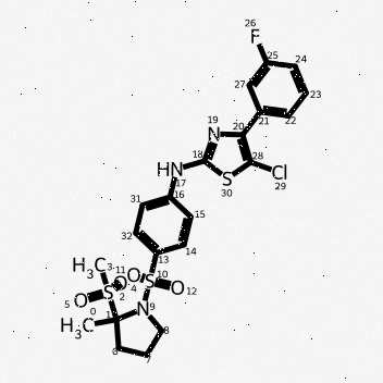 CC1(S(C)(=O)=O)CCCN1S(=O)(=O)c1ccc(Nc2nc(-c3cccc(F)c3)c(Cl)s2)cc1